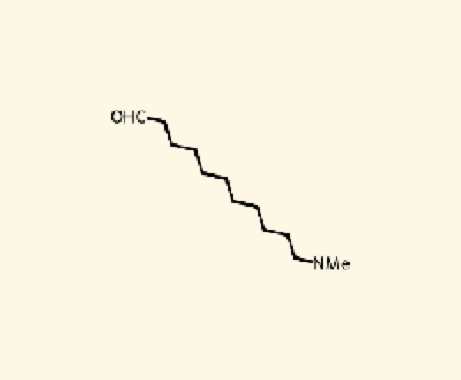 CNCCCCCCCCCCC=O